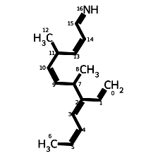 C=C/C(=C\C=C/C)C(C)/C=C\C(C)/C=C\C=N